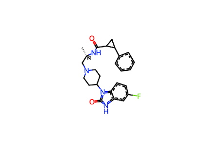 C[C@@H](CN1CCC(n2c(=O)[nH]c3cc(F)ccc32)CC1)NC(=O)C1CC1c1ccccc1